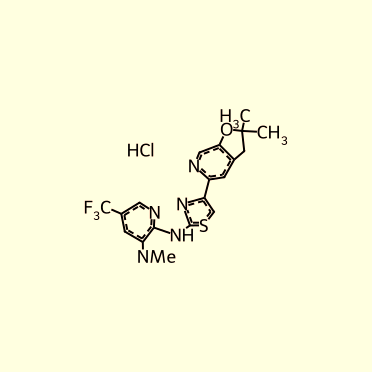 CNc1cc(C(F)(F)F)cnc1Nc1nc(-c2cc3c(cn2)OC(C)(C)C3)cs1.Cl